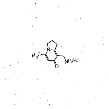 CC(=O)NCc1c2n(c(C)cc1=O)CCC2